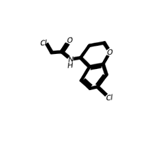 O=C(CCl)NC1CCOc2cc(Cl)ccc21